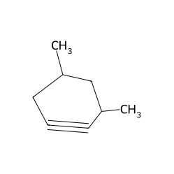 CC1C#CCC(C)C1